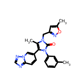 Cc1cccc(-n2c(-c3ccc4ncnn4c3)c(C)n(Cc3cc(C)on3)c2=O)c1